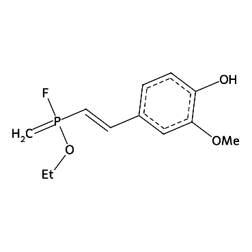 C=P(F)(/C=C/c1ccc(O)c(OC)c1)OCC